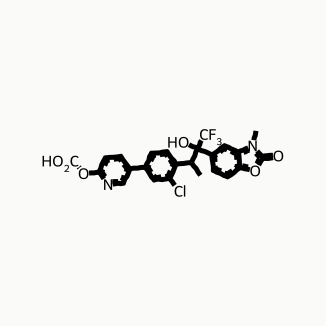 CC(c1ccc(-c2ccc(OC(=O)O)nc2)cc1Cl)C(O)(c1ccc2oc(=O)n(C)c2c1)C(F)(F)F